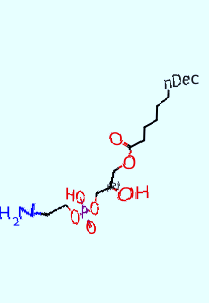 CCCCCCCCCCCCCCCC(=O)OC[C@@H](O)COP(=O)(O)OCCN